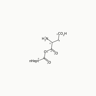 CCCCCCCC(=O)OC(=O)C(N)CC(=O)O